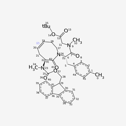 Cc1ccc(C[C@@H](C(=O)N(C)CC(=O)OC(C)(C)C)N2CC/C=C\C[C@H](N(C)C(=O)OCC3c4ccccc4-c4ccccc43)C2=O)cc1